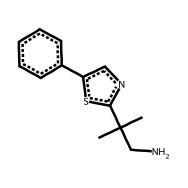 CC(C)(CN)c1ncc(-c2ccccc2)s1